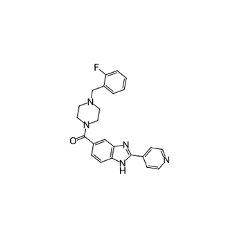 O=C(c1ccc2[nH]c(-c3ccncc3)nc2c1)N1CCN(Cc2ccccc2F)CC1